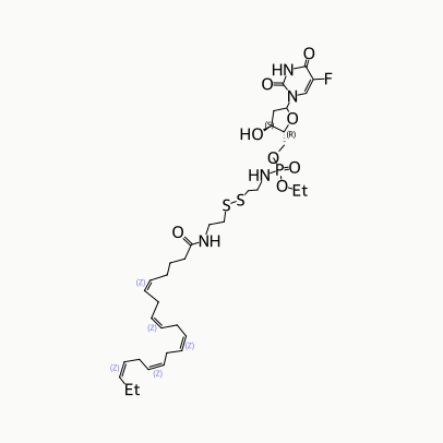 CC/C=C\C/C=C\C/C=C\C/C=C\C/C=C\CCCC(=O)NCCSSCCNP(=O)(OCC)OC[C@H]1OC(n2cc(F)c(=O)[nH]c2=O)C[C@@H]1O